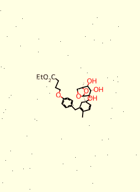 CCOC(=O)CCCOc1ccc(CC2=C(C)C=CC(C)([C@]34OC[C@](C)(O3)[C@@H](O)[C@H](O)[C@H]4O)C2)cc1